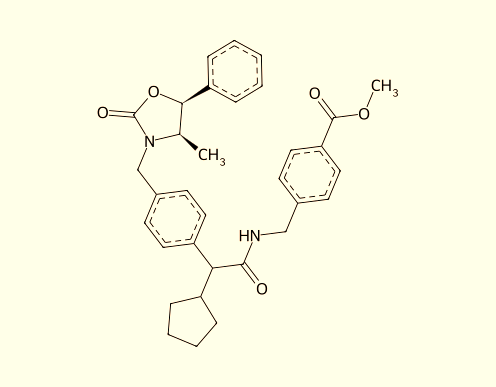 COC(=O)c1ccc(CNC(=O)C(c2ccc(CN3C(=O)O[C@@H](c4ccccc4)[C@H]3C)cc2)C2CCCC2)cc1